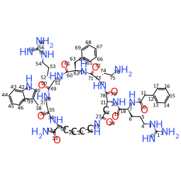 N=C(N)NCCC[C@H](NC(=O)Cc1ccccc1)C(=O)N[C@H]1CC(=O)NCCCC[C@@H](C(N)=O)NC(=O)[C@H](Cc2c[nH]c3ccccc23)NC(=O)[C@H](CCCNC(=N)N)NC(=O)[C@@H](Cc2ccccc2)NC(=O)[C@H](CCN)NC1=O